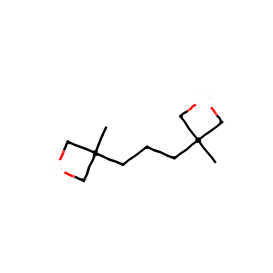 CC1(CCCC2(C)COC2)COC1